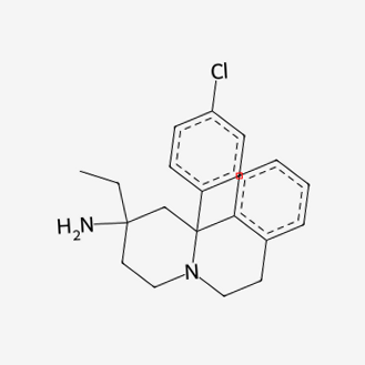 CCC1(N)CCN2CCc3ccccc3C2(c2ccc(Cl)cc2)C1